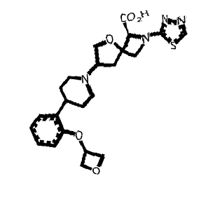 O=C(O)[C@H]1N(c2nncs2)CC12CC(N1CCC(c3ccccc3OC3COC3)CC1)CO2